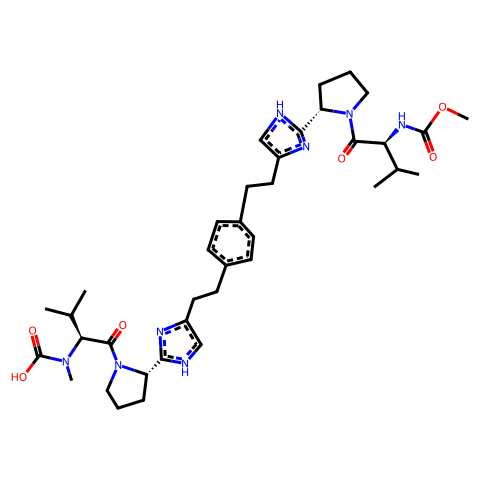 COC(=O)N[C@H](C(=O)N1CCC[C@H]1c1nc(CCc2ccc(CCc3c[nH]c([C@@H]4CCCN4C(=O)[C@H](C(C)C)N(C)C(=O)O)n3)cc2)c[nH]1)C(C)C